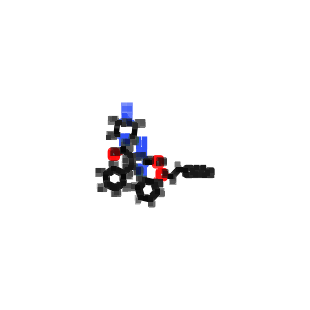 COCCOc1ccccc1-n1c(-c2ccccc2)c(C(=O)N2CCNCC2)[nH]c1=O